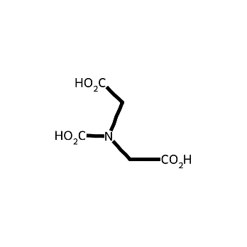 O=C(O)CN(CC(=O)O)C(=O)O